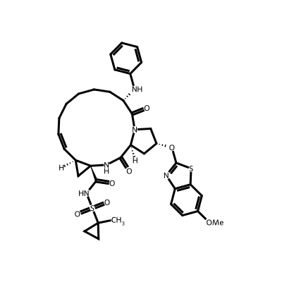 COc1ccc2nc(O[C@@H]3C[C@H]4C(=O)N[C@]5(C(=O)NS(=O)(=O)C6(C)CC6)C[C@H]5/C=C\CCCCC[C@H](Nc5ccccc5)C(=O)N4C3)sc2c1